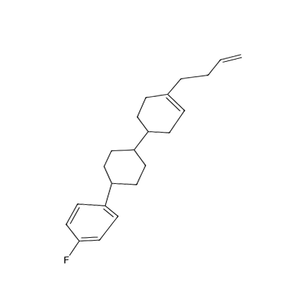 C=CCCC1=CCC(C2CCC(c3ccc(F)cc3)CC2)CC1